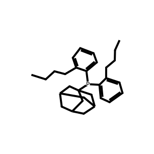 CCCCc1ccccc1P(c1ccccc1CCCC)C12CC3CC(CC(C3)C1)C2